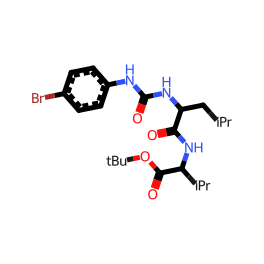 CC(C)CC(NC(=O)Nc1ccc(Br)cc1)C(=O)NC(C(=O)OC(C)(C)C)C(C)C